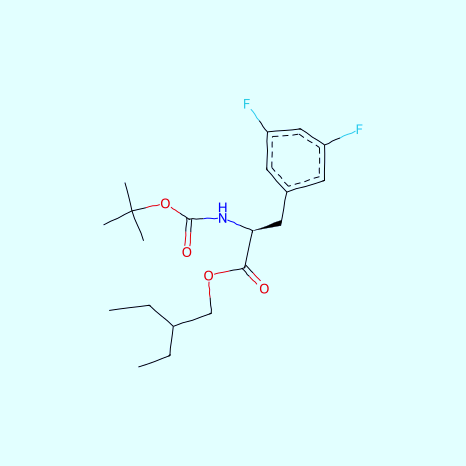 CCC(CC)COC(=O)[C@H](Cc1cc(F)cc(F)c1)NC(=O)OC(C)(C)C